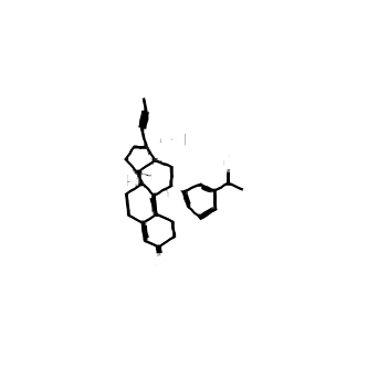 CC#C[C@]1(O)CC[C@H]2[C@@H]3CCC4=CC(=O)CCC4=C3[C@@H](c3cccc(C(C)O)c3)C[C@@]21C